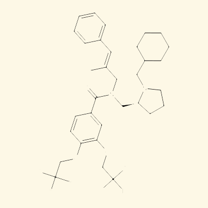 C/C(=C\c1ccccc1)CN(C[C@@H]1CCCN1CC1CCCCC1)C(=O)c1ccc(OCC(F)(F)F)c(OCC(F)(F)F)c1